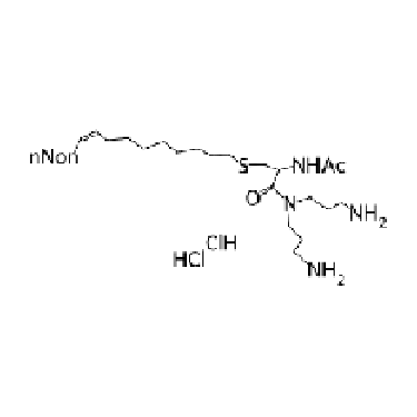 CCCCCCCCC/C=C\CCCCCCCCSCC(NC(C)=O)C(=O)N(CCCN)CCCN.Cl.Cl